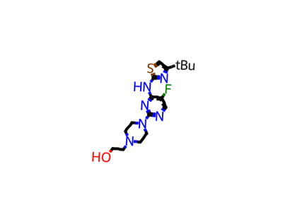 CC(C)(C)c1csc(Nc2nc(N3CCN(CCO)CC3)ncc2F)n1